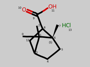 CC1(C)C2CC[C@@]1(C)C(C(=O)O)C2.Cl